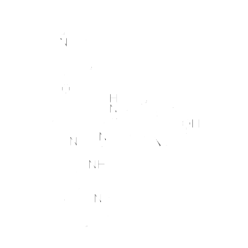 CCc1cc2cc(-c3c(C)nc(NCc4ccccn4)nc3N[C@@H]3C[C@H](CO)[C@@H](C)C3)oc2cn1